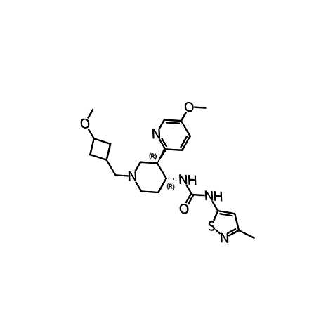 COc1ccc([C@@H]2CN(CC3CC(OC)C3)CC[C@H]2NC(=O)Nc2cc(C)ns2)nc1